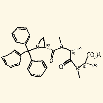 CC(C)[C@@H](C(=O)O)N(C)C(=O)[C@@H](C)N(C)C(=O)[C@H]1CN1C(c1ccccc1)(c1ccccc1)c1ccccc1